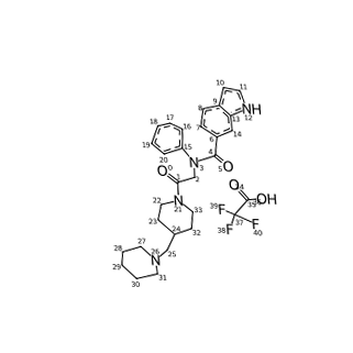 O=C(CN(C(=O)c1ccc2cc[nH]c2c1)c1ccccc1)N1CCC(CN2CCCCC2)CC1.O=C(O)C(F)(F)F